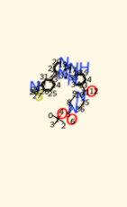 CC(C)(C)OC(=O)N1CCN(C(=O)c2ccc(Nc3nccc(-c4ccc5scnc5c4)n3)nc2)CC1